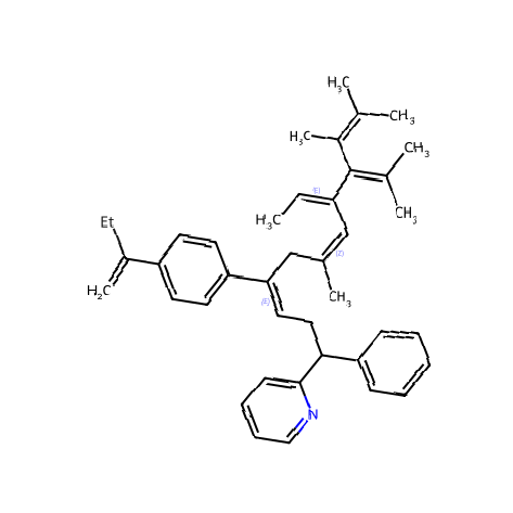 C=C(CC)c1ccc(/C(=C/CC(c2ccccc2)c2ccccn2)C/C(C)=C\C(=C/C)C(=C(C)C)C(C)=C(C)C)cc1